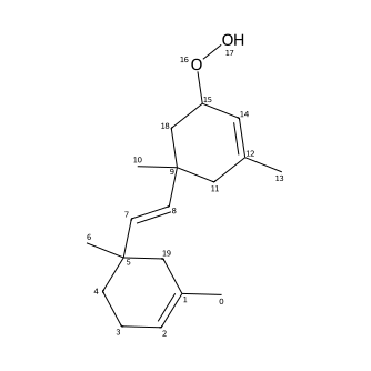 CC1=CCCC(C)(C=CC2(C)CC(C)=CC(OO)C2)C1